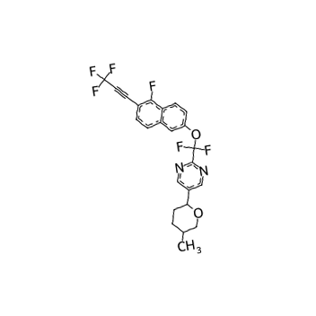 CC1CCC(c2cnc(C(F)(F)Oc3ccc4c(F)c(C#CC(F)(F)F)ccc4c3)nc2)OC1